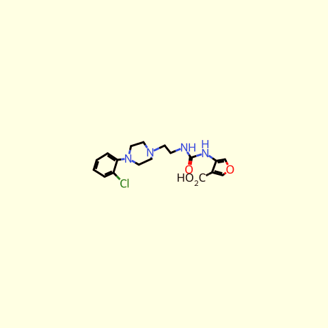 O=C(NCCN1CCN(c2ccccc2Cl)CC1)Nc1cocc1C(=O)O